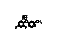 [B+2]c1ccc(Oc2ccnc(C)c2)c(F)c1.[OH-].[OH-]